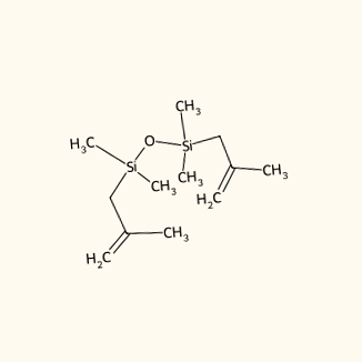 C=C(C)C[Si](C)(C)O[Si](C)(C)CC(=C)C